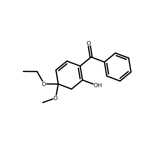 CCOC1(OC)C=CC(C(=O)c2ccccc2)=C(O)C1